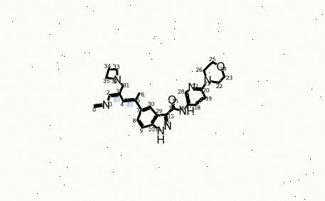 C=N/C=C(\C=C(/C)c1ccc2[nH]nc(C(=O)Nc3ccc(N4CCOCC4)nc3)c2c1)CN1CCC1